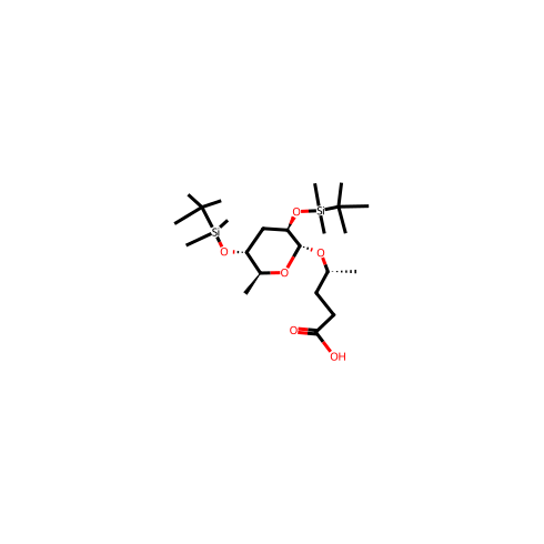 C[C@H](CCC(=O)O)O[C@@H]1O[C@@H](C)[C@H](O[Si](C)(C)C(C)(C)C)C[C@H]1O[Si](C)(C)C(C)(C)C